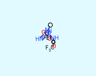 CCc1c(N2CCNCC2)c(=O)n2nc(C3=CCCCCC3)nc2n1CC(=O)Nc1ccc(OC(F)(F)F)cc1